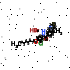 Br.CCCCCCCCOc1ccc(NC(=O)c2cccc(CN3CSC=C3C)c2)cc1Cl